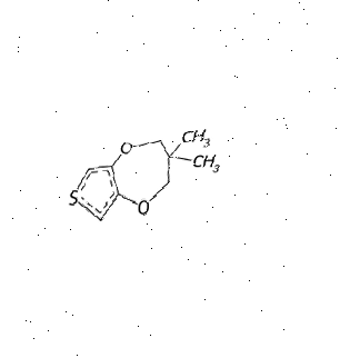 CC1(C)COc2cscc2OC1